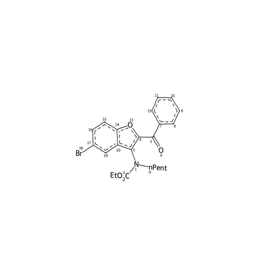 CCCCCN(C(=O)OCC)c1c(C(=O)c2ccccc2)oc2ccc(Br)cc12